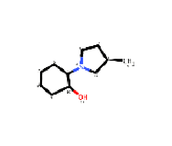 C[C@@H]1CCN(C2CCCCC2O)C1